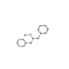 ClSP(Oc1ccccc1)Oc1ccccc1